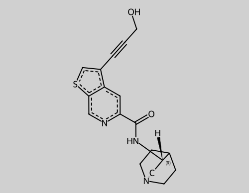 O=C(N[C@H]1CN2CCC1CC2)c1cc2c(C#CCO)csc2cn1